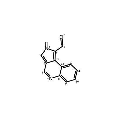 O=Cc1[nH]cc2cnc3ccccc3c12